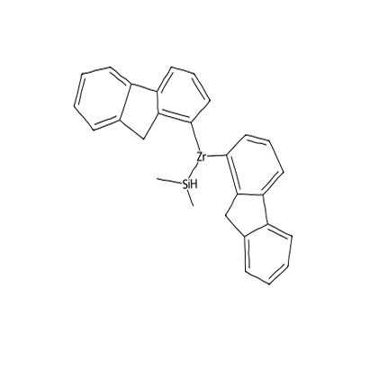 C[SiH](C)[Zr]([c]1cccc2c1Cc1ccccc1-2)[c]1cccc2c1Cc1ccccc1-2